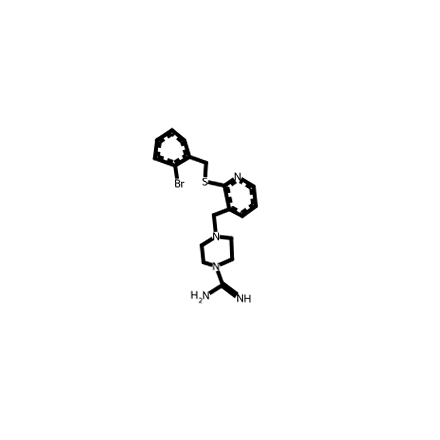 N=C(N)N1CCN(Cc2cccnc2SCc2ccccc2Br)CC1